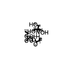 C=CC(=O)OOP(=O)(O)OCC.NC(CO)(CO)CO